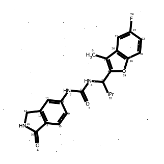 Cc1c(C(NC(=O)Nc2ccc3c(c2)CNC3=O)C(C)C)oc2ccc(F)cc12